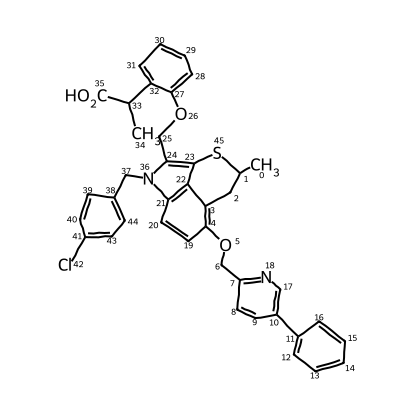 CC1Cc2c(OCc3ccc(-c4ccccc4)cn3)ccc3c2c(c(COc2ccccc2C(C)C(=O)O)n3Cc2ccc(Cl)cc2)S1